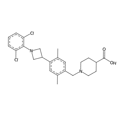 Cc1cc(C2CN(c3c(Cl)cccc3Cl)C2)c(C)cc1CN1CCC(C(=O)O)CC1